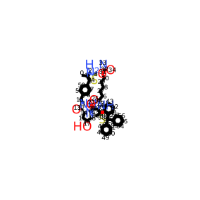 Cc1ncsc1-c1ccc(CNC(=O)[C@@H]2C[C@@H](O)CN2C(=O)[C@@H](NC(=O)CCCCCOC(N)=O)C(C)(C)SC(c2ccccc2)(c2ccccc2)c2ccccc2)cc1